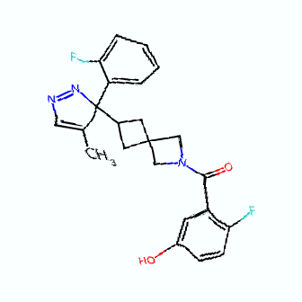 CC1=CN=NC1(c1ccccc1F)C1CC2(C1)CN(C(=O)c1cc(O)ccc1F)C2